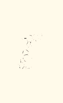 CC(C)N(c1nn(-c2ccc(-c3cc4nccc(N)n4n3)c(Cl)c2)cc1C(=O)O)C(=O)[C@H]1CC[C@H](C)CC1